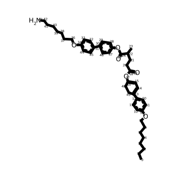 CCCCCCCCOc1ccc(C2=CC=C(OC(=O)CCC(C)C(=O)Oc3ccc(-c4ccc(OCCCCCCCN)cc4)cc3)CC2)cc1